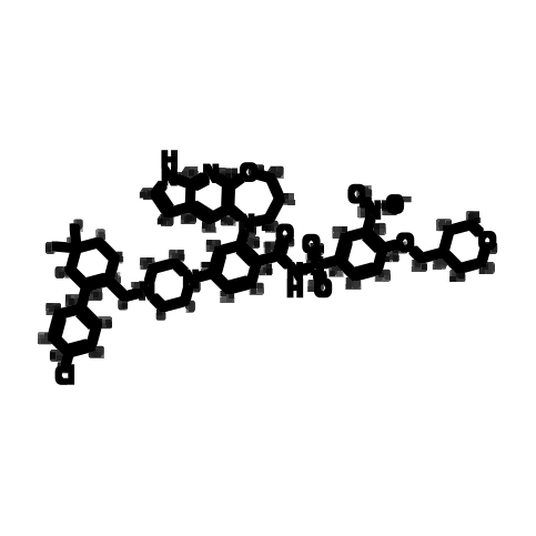 CC1(C)CCC(CN2CCN(c3ccc(C(=O)NS(=O)(=O)c4ccc(OCC5CCOCC5)c([N+](=O)[O-])c4)c(N4CCCOc5nc6[nH]ccc6cc54)c3)CC2)=C(c2ccc(Cl)cc2)C1